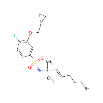 CC(C)CCC/C=C/C(C)(C)NS(=O)(=O)c1ccc(F)c(OCC2CC2)c1